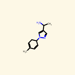 CC1=CCC(n2cc(C(C)N)cn2)C=C1